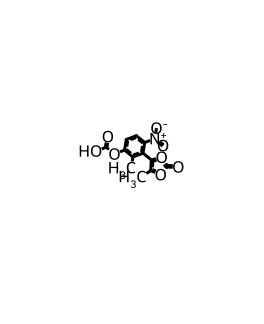 Cc1oc(=O)oc1-c1c([N+](=O)[O-])ccc(OC(=O)O)c1C